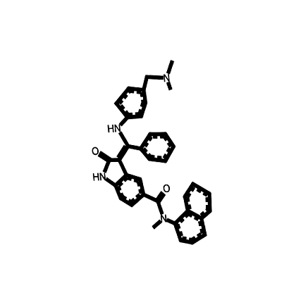 CN(C)Cc1ccc(N/C(=C2\C(=O)Nc3ccc(C(=O)N(C)c4cccc5ccccc45)cc32)c2ccccc2)cc1